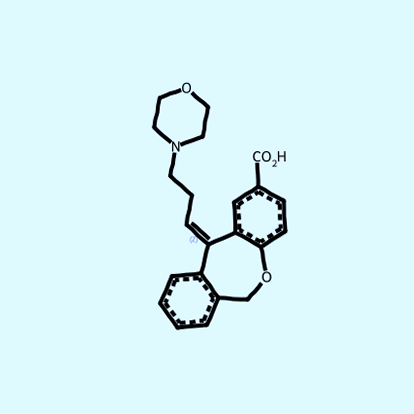 O=C(O)c1ccc2c(c1)/C(=C\CCN1CCOCC1)c1ccccc1CO2